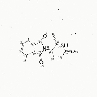 CC1C=CC=C2C(=O)N(C3CCC(=O)NC3=S)C(=O)C21